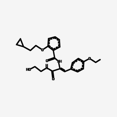 CCOc1ccc(C=C(NC(=O)c2ccccc2OCCC2CC2)C(=O)NCCO)cc1